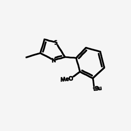 COc1c(-c2nc(C)cs2)cccc1C(C)(C)C